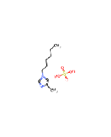 CCCCCCn1cnc(C)c1.O=S(=O)(O)O